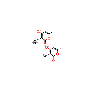 CC(=O)c1c([O-])cc(C)oc1=O.CC(=O)c1c([O-])cc(C)oc1=O.[Na+].[Na+]